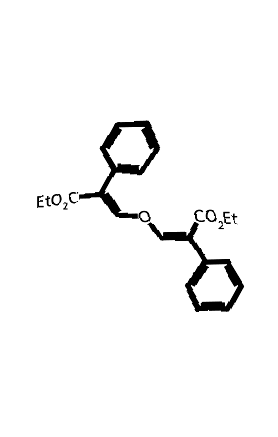 CCOC(=O)C(=COC=C(C(=O)OCC)c1ccccc1)c1ccccc1